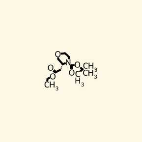 CCOC(=O)C[C@@H]1COCCN1C(=O)OC(C)(C)C